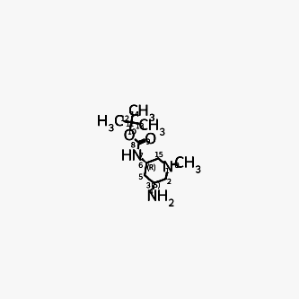 CN1C[C@@H](N)C[C@@H](NC(=O)OC(C)(C)C)C1